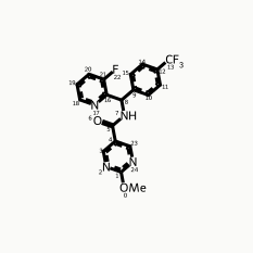 COc1ncc(C(=O)NC(c2ccc(C(F)(F)F)cc2)c2ncccc2F)cn1